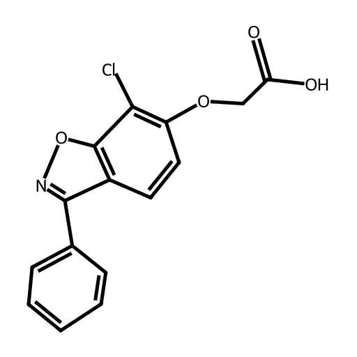 O=C(O)COc1ccc2c(-c3ccccc3)noc2c1Cl